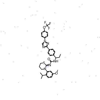 CCC(NC(=O)/N=C1\SCCCN1c1cc(OC)ccc1C(C)C)c1ccc(-c2ncn(-c3ccc(OC(F)(F)F)cc3)n2)cc1